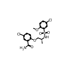 COc1ccc(Cl)cc1S(=O)(=O)N[C@@H](C)COc1ccc(Cl)cc1C(N)=O